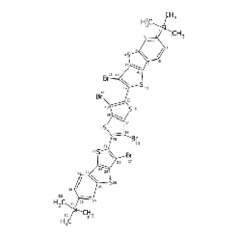 C[Si](C)(C)c1ccc2c(c1)sc1c(Br)c(-c3sc4c(Br)c(-c5sc6c(sc7cc([Si](C)(C)C)ccc76)c5Br)sc4c3Br)sc12